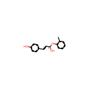 Cc1ccccc1O[C@@H](O)/C=C/c1ccc(O)cc1